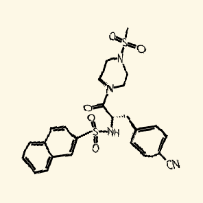 CS(=O)(=O)N1CCN(C(=O)[C@H](Cc2ccc(C#N)cc2)NS(=O)(=O)c2ccc3ccccc3c2)CC1